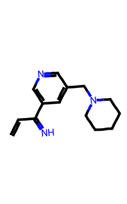 C=CC(=N)c1cncc(CN2CCCCC2)c1